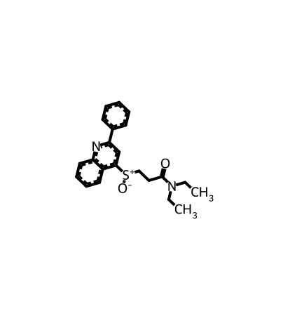 CCN(CC)C(=O)CC[S+]([O-])c1cc(-c2ccccc2)nc2ccccc12